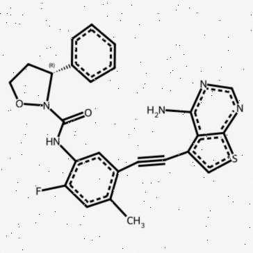 Cc1cc(F)c(NC(=O)N2OCC[C@@H]2c2ccccc2)cc1C#Cc1csc2ncnc(N)c12